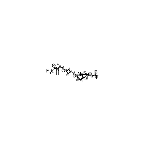 C[C@@H](CO[C@H]1C[C@H](COc2ccc3nc(OCC(F)F)sc3n2)C1)NC(=O)C(F)(F)F